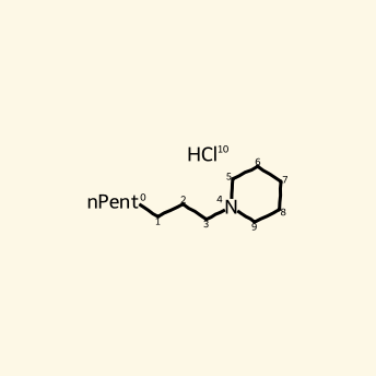 CCCCCCCCN1CCCCC1.Cl